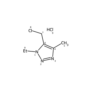 CCn1nnc(C)c1CCl.Cl